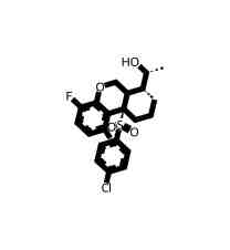 C[C@@H](O)[C@@H]1CCC[C@@]2(S(=O)(=O)c3ccc(Cl)cc3)c3c(F)ccc(F)c3OCC12